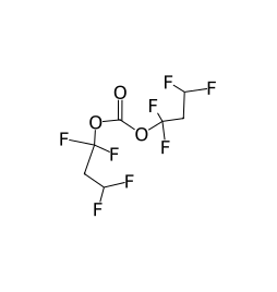 O=C(OC(F)(F)CC(F)F)OC(F)(F)CC(F)F